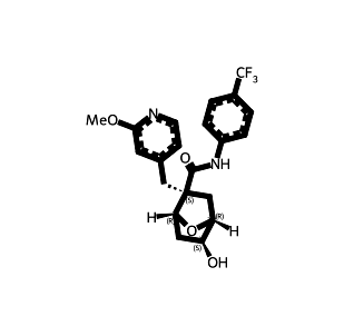 COc1cc(C[C@]2(C(=O)Nc3ccc(C(F)(F)F)cc3)C[C@H]3O[C@@H]2C[C@@H]3O)ccn1